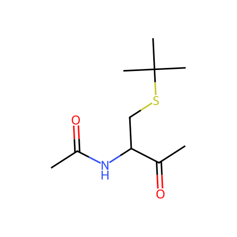 CC(=O)NC(CSC(C)(C)C)C(C)=O